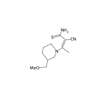 COCC1CCCN(C(C)=C(C#N)C(N)=S)C1